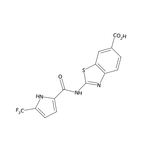 O=C(O)c1ccc2nc(NC(=O)c3ccc(C(F)(F)F)[nH]3)sc2c1